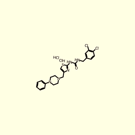 Cl.Cl.O=C(NCc1ccc(Cl)c(Cl)c1)Nc1nc(CN2CCN(c3ccccc3)CC2)cs1